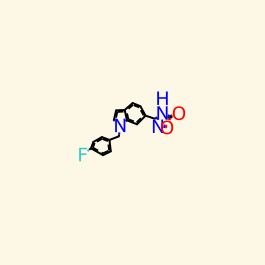 O=c1[nH]c(-c2ccc3ccn(Cc4ccc(F)cc4)c3c2)no1